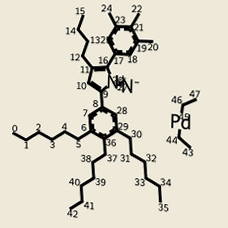 CCCCCCc1cc(C2=CC(CCCC)=C(c3cc(C)c(C)c(C)c3)[N+]2=[N-])cc(CCCCCC)c1CCCCCC.C[CH2][Pd][CH2]C